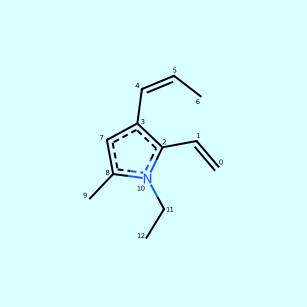 C=Cc1c(/C=C\C)cc(C)n1CC